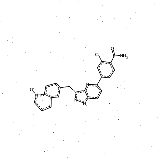 NC(=O)c1ccc(-c2ccc3nnn(Cc4ccc5c(ccc[n+]5[O-])c4)c3n2)cc1Cl